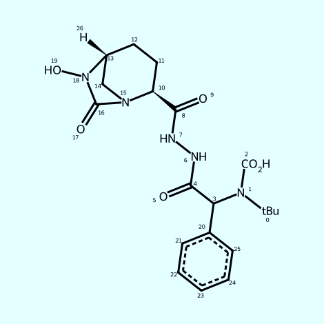 CC(C)(C)N(C(=O)O)C(C(=O)NNC(=O)[C@@H]1CC[C@@H]2CN1C(=O)N2O)c1ccccc1